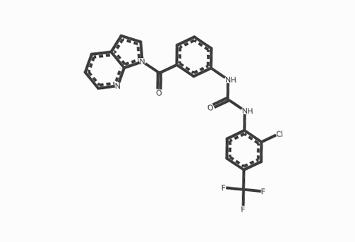 O=C(Nc1cccc(C(=O)n2ccc3cccnc32)c1)Nc1ccc(C(F)(F)F)cc1Cl